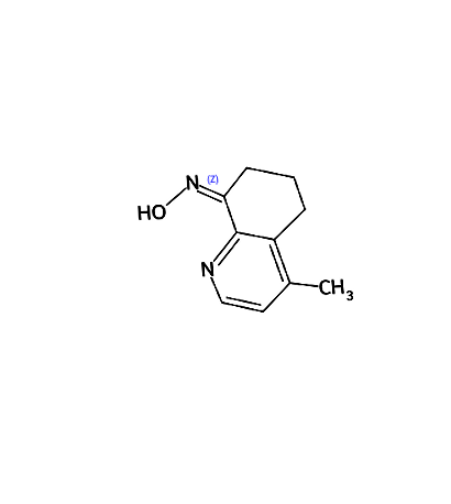 Cc1ccnc2c1CCC/C2=N/O